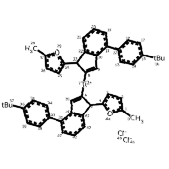 Cc1ccc(C2[C]([Ti+2][C]3=Cc4c(-c5ccc(C(C)(C)C)cc5)cccc4C3c3ccc(C)o3)=Cc3c(-c4ccc(C(C)(C)C)cc4)cccc32)o1.[Cl-].[Cl-]